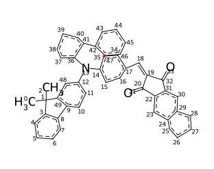 CC1(C)c2ccccc2-c2ccc(N(c3ccc(C=C4C(=O)c5cc6ccccc6cc5C4=O)cc3)c3ccccc3-c3ccccc3)cc21